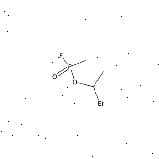 CCC(C)OP(C)(=O)F